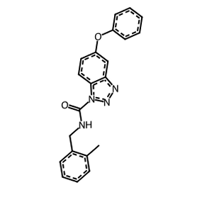 Cc1ccccc1CNC(=O)n1nnc2cc(Oc3ccccc3)ccc21